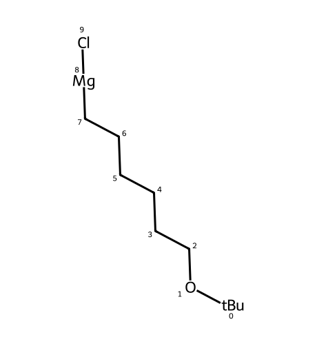 CC(C)(C)OCCCCC[CH2][Mg][Cl]